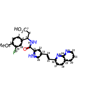 COc1ccc(C(CC(=O)O)NC(=O)c2cc(C=Cc3ccc4cccnc4n3)c[nH]2)cc1F